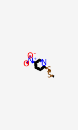 CSSc1ccc([N+](=O)[O-])cn1